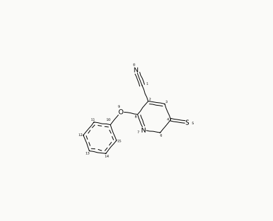 N#CC1=CC(=S)CN=C1Oc1ccccc1